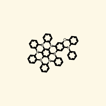 c1ccc(N2c3ccccc3Oc3cc4c(cc32)B2c3ccccc3N3c5ccccc5B5c6ccccc6N6c7ccccc7B7c8ccccc8N4c4c7c6c5c3c42)cc1